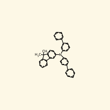 CC1(C)c2ccccc2-c2cc(N(c3ccc(-c4ccccc4)cc3)c3cccc(-c4ccccc4)c3)ccc21